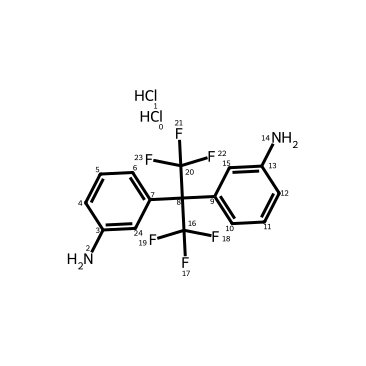 Cl.Cl.Nc1cccc(C(c2cccc(N)c2)(C(F)(F)F)C(F)(F)F)c1